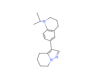 CC(C)N1CCCc2cc(-c3cnn4c3CCCC4)ccc21